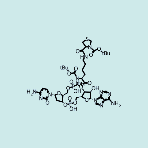 CC(C)(C)OC(=O)N[C@@H](CCCCNC(=O)C1CSCN1C(=O)OC(C)(C)C)C(=O)O[C@H]1[C@@H](O)[C@H](n2cnc3c(N)ncnc32)O[C@H]1COP(=O)(O)O[C@H]1C[C@H](n2ccc(N)nc2=O)O[C@H]1COP(=O)(O)O